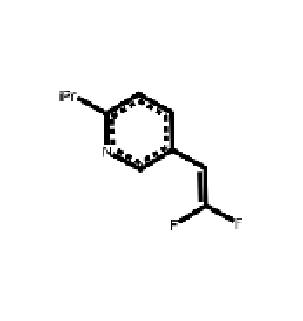 CC(C)c1ccc(C=C(F)F)cn1